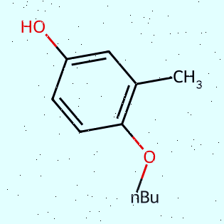 CCCCOc1ccc(O)cc1C